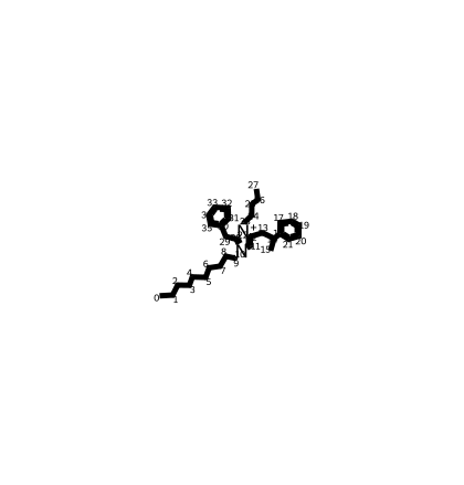 CCCCCCCCCCn1cc(CC(C)c2ccccc2)[n+](CCCCC)c1Cc1ccccc1